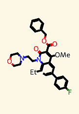 C\C=C(/C=c1/c(OC)c(C(=O)OCc2ccccc2)c(=O)n(CCN2CCOCC2)/c1=C\CC)c1ccc(F)cc1